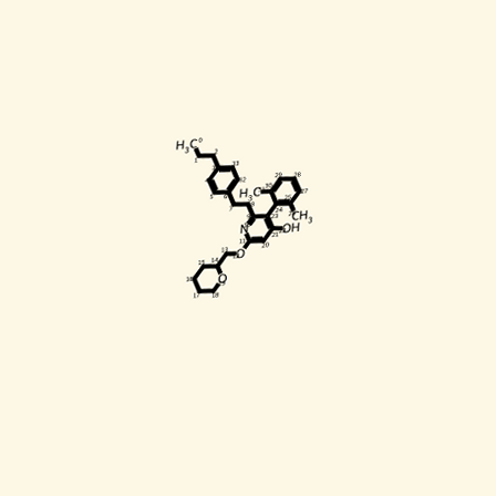 CCCc1ccc(CCc2nc(OCC3CCCCO3)cc(O)c2-c2c(C)cccc2C)cc1